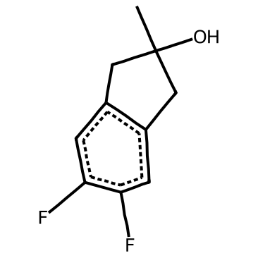 CC1(O)Cc2cc(F)c(F)cc2C1